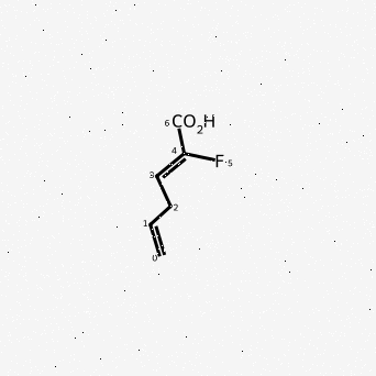 C=CCC=C(F)C(=O)O